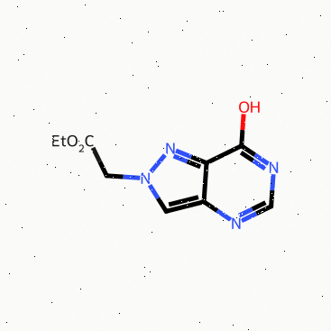 CCOC(=O)Cn1cc2ncnc(O)c2n1